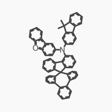 CC1(C)c2ccccc2-c2ccc(N(c3ccc4oc5ccccc5c4c3)c3cccc4c3-c3ccccc3C43c4ccccc4-c4ccccc4-c4ccccc43)cc21